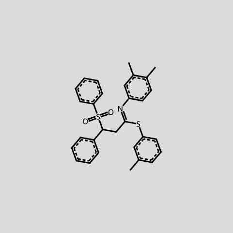 Cc1cccc(SC(CC(c2ccccc2)S(=O)(=O)c2ccccc2)=Nc2ccc(C)c(C)c2)c1